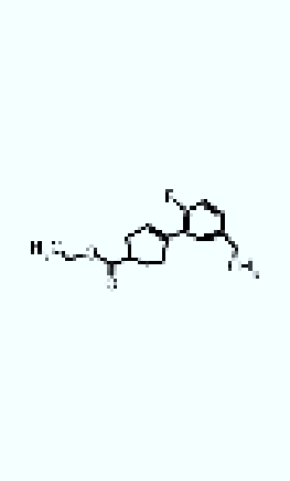 CCOC(=O)C1CC=C(c2cc(CC)ccc2F)CC1